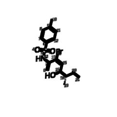 C=C(NS(=O)(=O)c1ccc(C)cc1)/C(Br)=C\C(O)[C@@H](C)CC